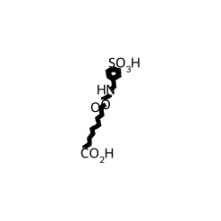 O=C(O)CCCCCCCCC(=O)OCCNCc1ccc(S(=O)(=O)O)cc1